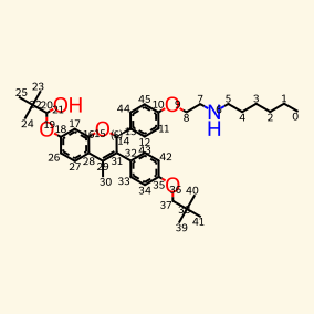 CCCCCCNCCOc1ccc([C@@H]2Oc3cc(OC(O)C(C)(C)C)ccc3C(C)=C2c2ccc(OCC(C)(C)C)cc2)cc1